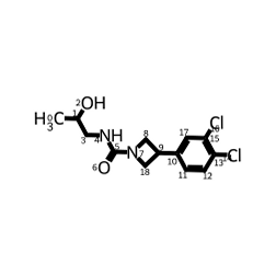 CC(O)CNC(=O)N1CC(c2ccc(Cl)c(Cl)c2)C1